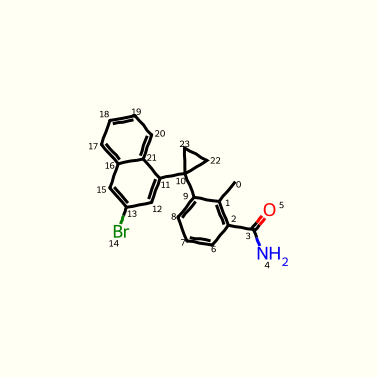 Cc1c(C(N)=O)cccc1C1(c2cc(Br)cc3ccccc23)CC1